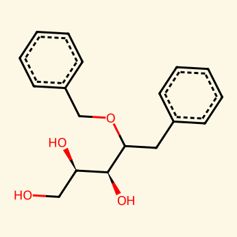 OC[C@@H](O)[C@H](O)C(Cc1ccccc1)OCc1ccccc1